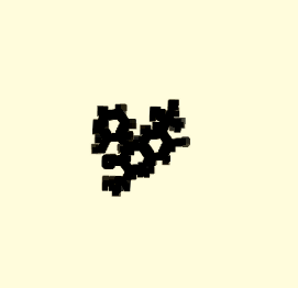 Cc1cc2nc(N)c(=O)n(-c3cccnc3C)c2cc1C(F)(F)F